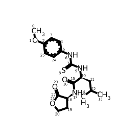 COc1ccc(NC(=S)N[C@@H](CC(C)C)C(=O)N[C@H]2CCOC2=O)cc1